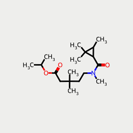 CC(C)OC(=O)CC(C)(C)CCN(C)C(=O)C1C(C)C1(C)C